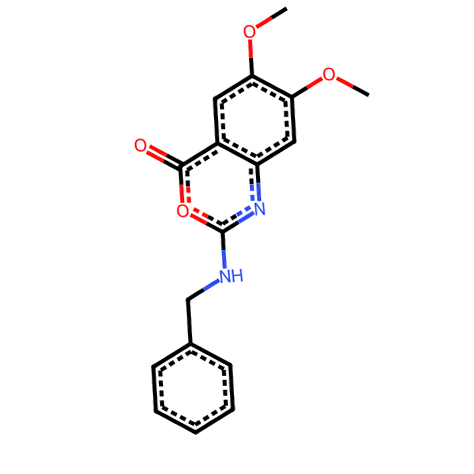 COc1cc2nc(NCc3ccccc3)oc(=O)c2cc1OC